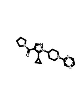 O=C(c1cnn(C2CCN(c3cnccn3)CC2)c1C1CC1)N1CCCC1